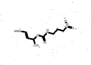 CCCCCC/C=C/C(C)OC(=O)NCCC[SH](=O)=O